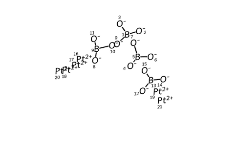 [O-]B([O-])[O-].[O-]B([O-])[O-].[O-]B([O-])[O-].[O-]B([O-])[O-].[Pt+2].[Pt+2].[Pt+2].[Pt+2].[Pt+2].[Pt+2]